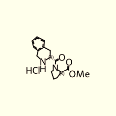 COC(=O)[C@H]1CCCN1C(=O)[C@H]1Cc2ccccc2CN1.Cl